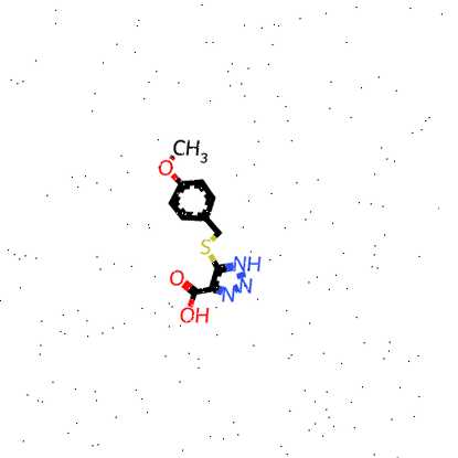 COc1ccc(CSc2[nH]nnc2C(=O)O)cc1